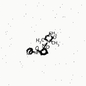 C[C@H]1CN(C)C(=O)[C@H](C)N1c1nc2c(C(=O)NC3CN4CCC3CC4)cccc2o1